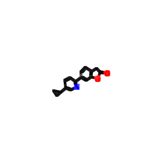 O=C1Cc2ccc(-c3ccc(C4CC4)cn3)cc2O1